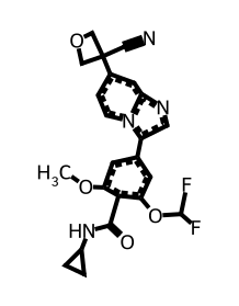 COc1cc(-c2cnc3cc(C4(C#N)COC4)ccn23)cc(OC(F)F)c1C(=O)NC1CC1